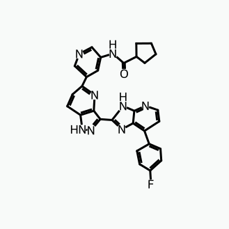 O=C(Nc1cncc(-c2ccc3[nH]nc(-c4nc5c(-c6ccc(F)cc6)ccnc5[nH]4)c3n2)c1)C1CCCC1